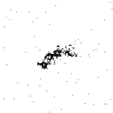 CC(C)C[C@](C)(N)COc1ccc(-c2ccnc(NC3CCC(F)C3)c2)cc1Cl